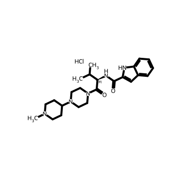 CC(C)[C@@H](NC(=O)c1cc2ccccc2[nH]1)C(=O)N1CCN(C2CCN(C)CC2)CC1.Cl